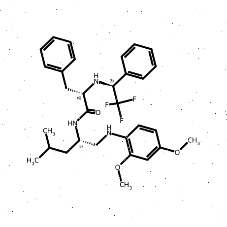 COc1ccc(NC[C@H](CC(C)C)NC(=O)[C@H](Cc2ccccc2)N[C@@H](c2ccccc2)C(F)(F)F)c(OC)c1